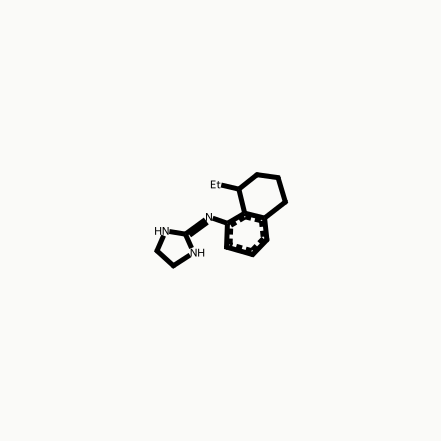 CCC1CCCc2cccc(N=C3NCCN3)c21